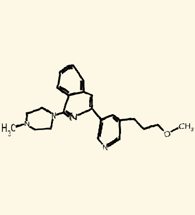 COCCCc1cncc(-c2cc3ccccc3c(N3CCN(C)CC3)n2)c1